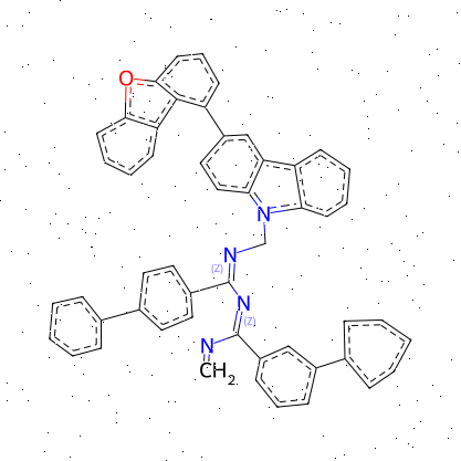 C=N/C(=N\C(=N/Cn1c2ccccc2c2cc(-c3cccc4oc5ccccc5c34)ccc21)c1ccc(-c2ccccc2)cc1)c1cccc(-c2ccccc2)c1